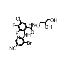 N#Cc1cnc(Nc2c(C(=O)NOCC(O)CO)cc(Cl)c(F)c2F)c(Br)c1